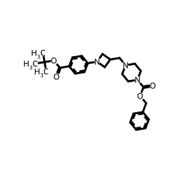 CC(C)(C)OC(=O)c1ccc(N2CC(CN3CCN(C(=O)OCc4ccccc4)CC3)C2)cc1